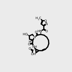 Cc1cc(C(=O)N[C@H]2CCCCCC=CC3C[C@@]3(C(=O)O)NC(=O)[C@@H]3C[C@@H](O)CN3C2=O)no1